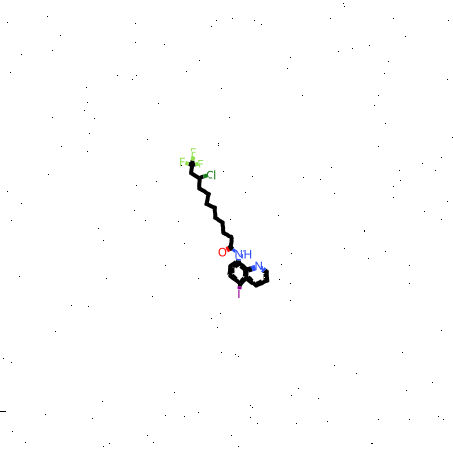 O=C(CCCCCCCCC(Cl)CC(F)(F)F)Nc1ccc(I)c2cccnc12